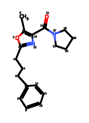 Cc1oc(CCCc2ccccc2)nc1C(=O)N1CCCC1